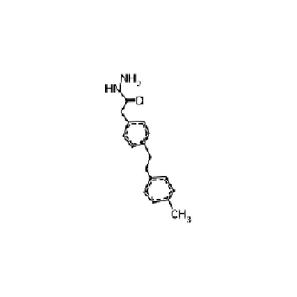 Cc1ccc(CCc2ccc(CC(=O)NN)cc2)cc1